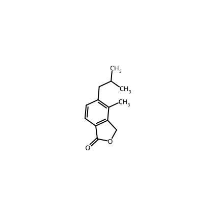 Cc1c(CC(C)C)ccc2c1COC2=O